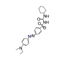 CCN(CC)c1ccc(/N=N/c2ccc(S(=O)(=O)NC(=O)NC3CCCCC3)cc2)cc1